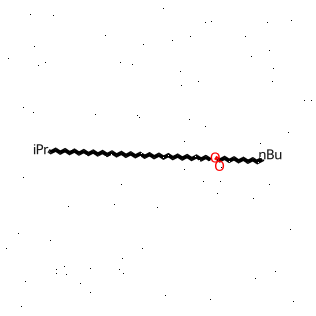 CCCC/C=C\CCCCCCCC(=O)OCCCCCCCCCCCCCCCCCCCCCCCCCCCCCCCCCCCC(C)C